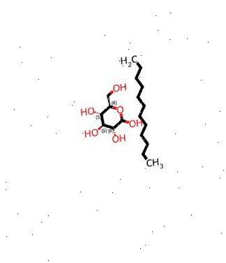 OC[C@H]1OC(O)[C@H](O)[C@@H](O)[C@@H]1O.[CH2]CCCCCCCCCCC